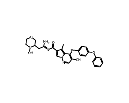 Cc1c(C(=O)N=C(N)CC2COCCN2O)cn2ncc(C#N)c(Nc3ccc(Oc4ccccc4)cc3)c12